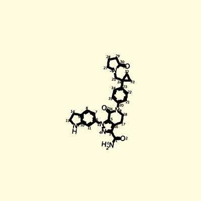 NC(=O)c1nn(-c2ccc3c(c2)NCC3)c2c1CCN(c1ccc(C3(CN4CCCC4=O)CC3)cc1)C2=O